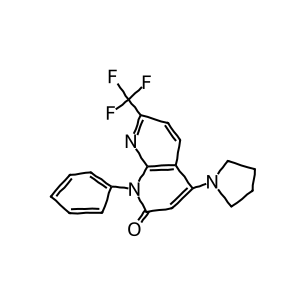 O=c1cc(N2CCCC2)c2ccc(C(F)(F)F)nc2n1-c1ccccc1